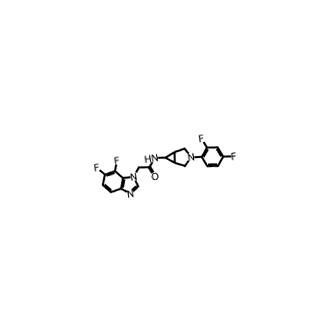 O=C(Cn1cnc2ccc(F)c(F)c21)NC1C2CN(c3ccc(F)cc3F)CC21